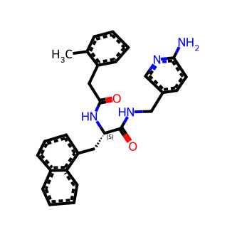 Cc1ccccc1CC(=O)N[C@@H](Cc1cccc2ccccc12)C(=O)NCc1ccc(N)nc1